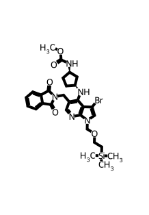 COC(=O)N[C@@H]1CC[C@@H](Nc2c(CN3C(=O)c4ccccc4C3=O)cnc3c2c(Br)cn3COCC[Si](C)(C)C)C1